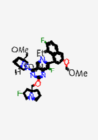 CCc1c(F)ccc2cc(OCOC)cc(-c3ncc4c(N5C[C@@H]6CC[C@](COC)(C5)N6C(=O)O)nc(OC[C@@]56CCCN5C[C@H](F)C6)nc4c3F)c12